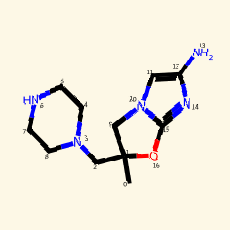 CC1(CN2CCNCC2)Cn2cc(N)nc2O1